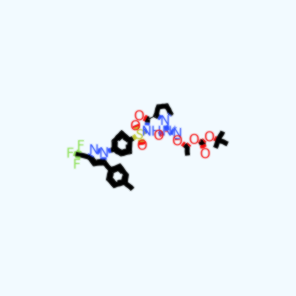 Cc1ccc(-c2cc(C(F)(F)F)nn2-c2ccc(S(=O)(=O)NC(=O)[C@@H]3CCCN3[N+]([O-])=NOC(C)OC(=O)OC(C)(C)C)cc2)cc1